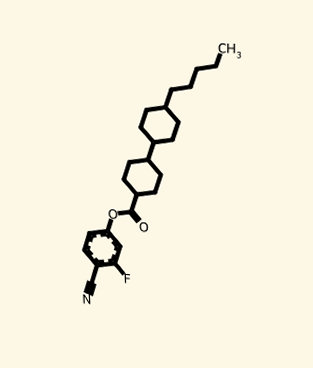 CCCCCC1CCC(C2CCC(C(=O)Oc3ccc(C#N)c(F)c3)CC2)CC1